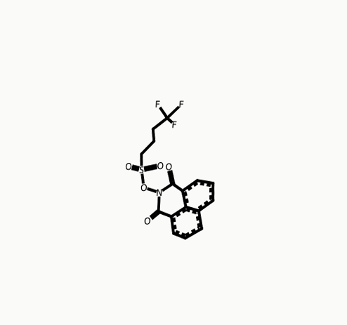 O=C1c2cccc3cccc(c23)C(=O)N1OS(=O)(=O)CCCC(F)(F)F